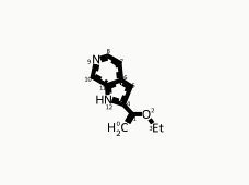 C=C(OCC)c1cc2ccncc2[nH]1